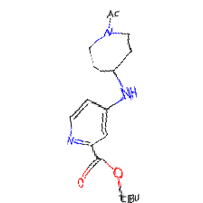 CC(=O)N1CCC(Nc2ccnc(C(=O)OC(C)(C)C)c2)CC1